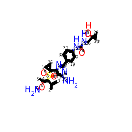 C=C(C)/C(=C(/C)ON)S(=O)(=O)C1(c2cc(N)nc(-c3ccc(NC(=O)NCC4(O)CC4)cc3)n2)CC1